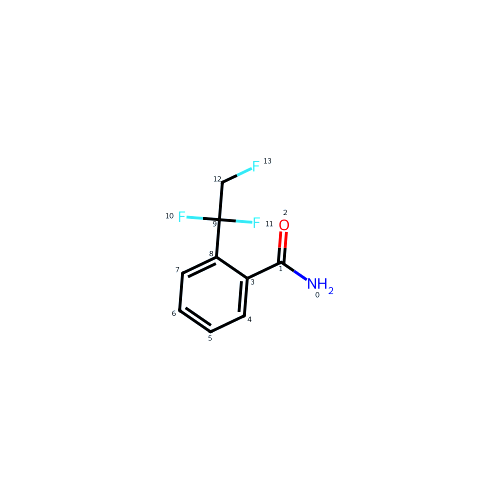 NC(=O)c1ccccc1C(F)(F)CF